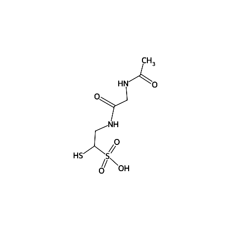 CC(=O)NCC(=O)NCC(S)S(=O)(=O)O